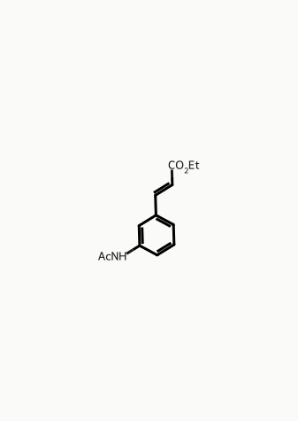 CCOC(=O)/C=C/c1cccc(NC(C)=O)c1